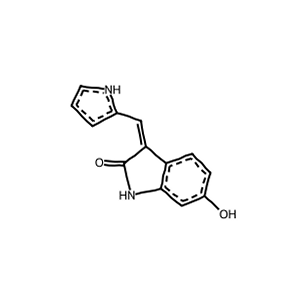 O=C1Nc2cc(O)ccc2C1=Cc1ccc[nH]1